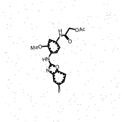 COc1cc(NC(=O)COC(C)=O)ccc1Nc1nc2cc(F)ccc2o1